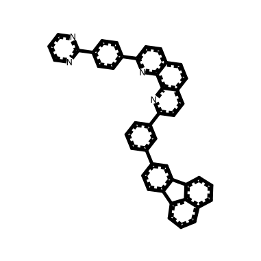 c1cnc(-c2ccc(-c3ccc4ccc5ccc(-c6cccc(-c7ccc8c(c7)-c7cccc9cccc-8c79)c6)nc5c4n3)cc2)nc1